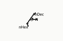 C=C(CCCN(C)C)OC(CCCCCC(C)(C)C/C=C\CCCCCC)CCCCCC(C)(C)C(=C)CCCCCCCCCC